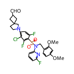 COc1ccc(CN(c2cccc(F)n2)S(=O)(=O)c2c(F)cc(N3CCC4(CC(C=O)C4)C3)c(Cl)c2F)c(OC)c1